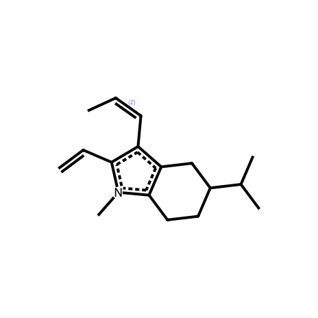 C=Cc1c(/C=C\C)c2c(n1C)CCC(C(C)C)C2